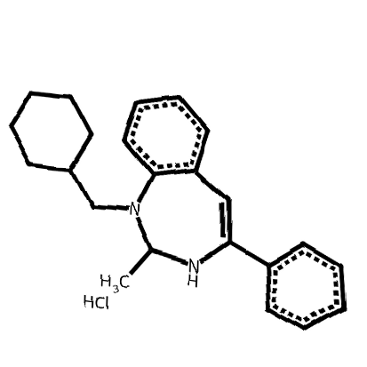 CC1NC(c2ccccc2)=Cc2ccccc2N1CC1CCCCC1.Cl